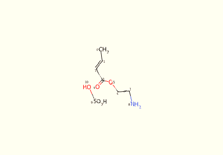 CC=CC(=O)OCCN.O=S(=O)(O)O